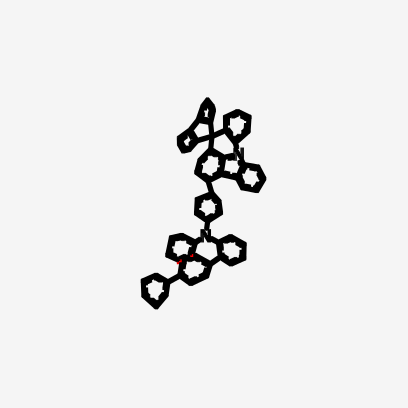 c1ccc(-c2ccc(-c3ccccc3N(c3ccccc3)c3ccc(-c4ccc5c6c4c4ccccc4n6-c4ccccc4C54c5ccccc5-c5ccccc54)cc3)cc2)cc1